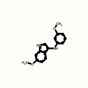 COc1cccc(Nc2c[nH]c3cc(OC)ccc23)c1